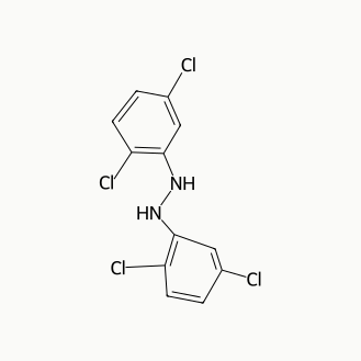 Clc1ccc(Cl)c(NNc2cc(Cl)ccc2Cl)c1